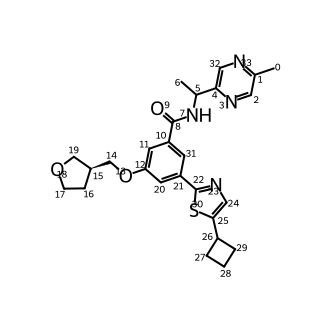 Cc1cnc(C(C)NC(=O)c2cc(OC[C@H]3CCOC3)cc(-c3ncc(C4CCC4)s3)c2)cn1